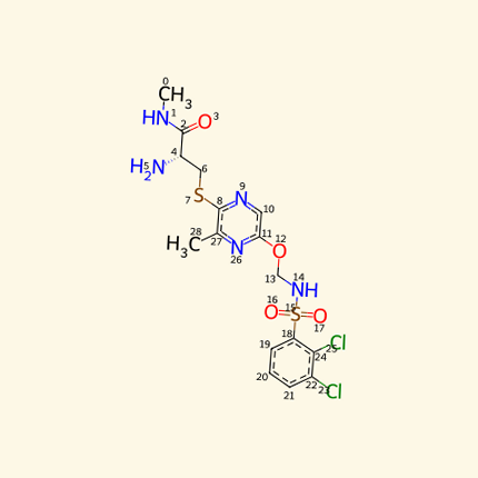 CNC(=O)[C@@H](N)CSc1ncc(OCNS(=O)(=O)c2cccc(Cl)c2Cl)nc1C